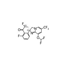 O=C1c2c(F)cccc2[C@@]2(C[C@@H]1F)CN1C=C(C(F)(F)F)C=C(OC(F)F)C1=N2